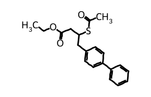 CCOC(=O)CC(Cc1ccc(-c2ccccc2)cc1)SC(C)=O